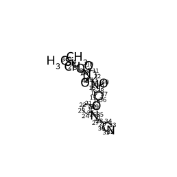 C[Si](C)(C)CCOCN1C(=O)CCC(N2Cc3cc(O[C@H]4CCCCC4N4CC(c5ccncc5)C4)ccc3C2=O)C1=O